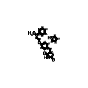 CN(CCOc1ccc(CC2SC(=O)NC2=O)cc1)c1ccccn1.c1cc[nH]c1